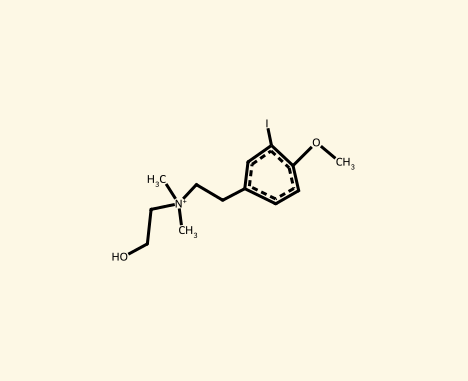 COc1ccc(CC[N+](C)(C)CCO)cc1I